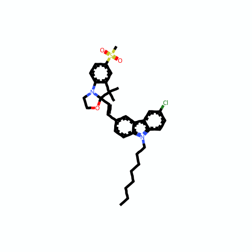 CCCCCCCCn1c2ccc(Cl)cc2c2cc(C=CC34OCCN3c3ccc(S(C)(=O)=O)cc3C4(C)C)ccc21